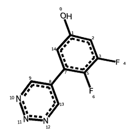 Oc1cc(F)c(F)c(-c2cnnnc2)c1